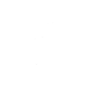 C=C(C)C(=O)OCC1CC2CC1C1CC(COC(O)C(=C)C)CC21